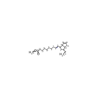 C=CC1CC(/C=C/CCCCCCCC(=O)OC)C2C=CCC12